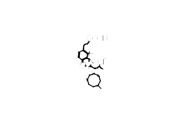 CC1CCCCC([C@H](C(=O)Nc2cc(CCC(=O)O)ccc2Cl)[C@H](C)C(F)(F)F)CC1